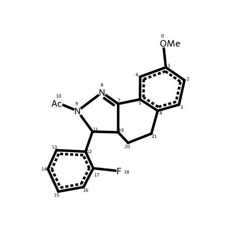 COc1ccc2c(c1)C1=NN(C(C)=O)C(c3ccccc3F)C1CC2